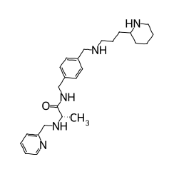 C[C@H](NCc1ccccn1)C(=O)NCc1ccc(CNCCCC2CCCCN2)cc1